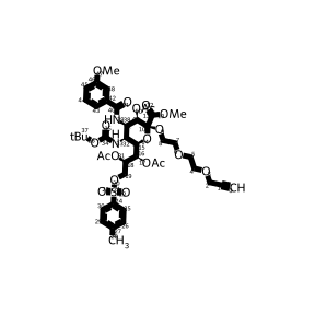 C#CCOCCOCCO[C@@]1(C(=O)OC)O[C@@H]([C@H](OC(C)=O)[C@@H](COS(=O)(=O)c2ccc(C)cc2)OC(C)=O)[C@H](NC(=O)OC(C)(C)C)[C@@H](NC(=O)c2cccc(OC)c2)[C@@H]1OC(C)=O